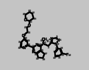 CN(Cc1ncnn1-c1cccc(F)c1)c1nc(-c2cc(OCCOC3CCCCO3)ccn2)nc2c1CCC2